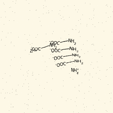 NC(=O)[O-].NC(=O)[O-].NC(=O)[O-].NC(=O)[O-].NC(=O)[O-].[NH4+].[Zr+4]